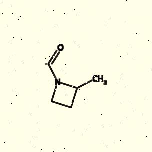 CC1CCN1[C]=O